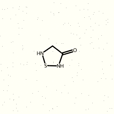 O=C1CNSN1